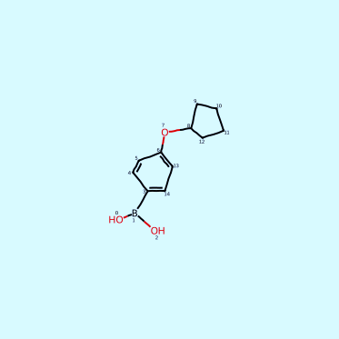 OB(O)c1ccc(OC2CCCC2)cc1